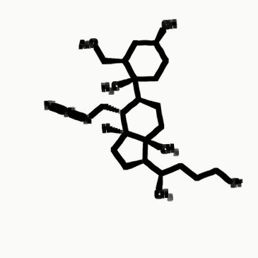 CC(=O)OC[C@H]1C[C@@H](O)CC[C@]1(C)[C@H]1CC[C@]2(C)[C@@H]([C@H](C)CCCC(C)C)CC[C@H]2[C@@H]1CN=[N+]=[N-]